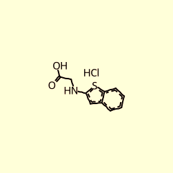 Cl.O=C(O)CNc1cc2ccccc2s1